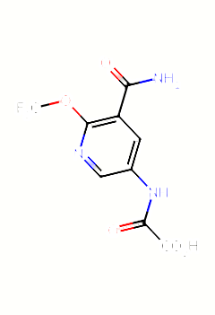 NC(=O)c1cc(NC(=O)C(=O)O)cnc1OC(F)(F)F